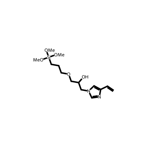 C=Cc1cn(CC(O)COCCC[Si](OC)(OC)OC)cn1